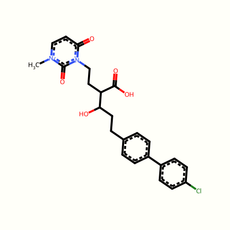 Cn1ccc(=O)n(CCC(C(=O)O)C(O)CCc2ccc(-c3ccc(Cl)cc3)cc2)c1=O